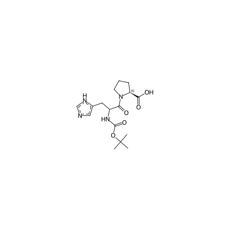 CC(C)(C)OC(=O)NC(Cc1cnc[nH]1)C(=O)N1CCC[C@H]1C(=O)O